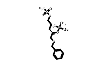 CC(C)(C)[Si](C)(C)O[C@H](CCCOS(C)(=O)=O)COCc1ccccc1